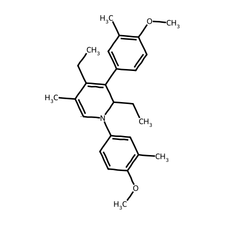 CCC1=C(c2ccc(OC)c(C)c2)C(CC)N(c2ccc(OC)c(C)c2)[C]=C1C